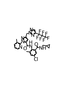 Cc1cccnc1-n1nc(Cn2ncc(C(F)(F)C(F)(F)C(F)(F)F)n2)cc1C(=O)Nc1c(C)cc(Cl)cc1C(=O)NCC1CC1